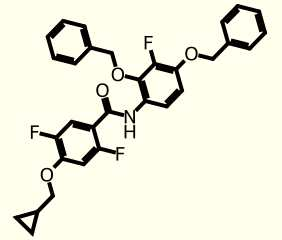 O=C(Nc1ccc(OCc2ccccc2)c(F)c1OCc1ccccc1)c1cc(F)c(OCC2CC2)cc1F